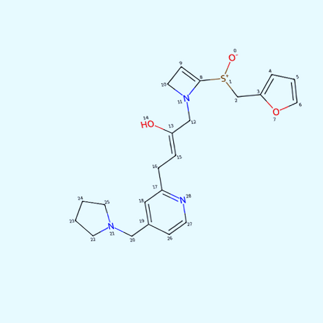 [O-][S+](Cc1ccco1)C1=CCN1C/C(O)=C/Cc1cc(CN2CCCC2)ccn1